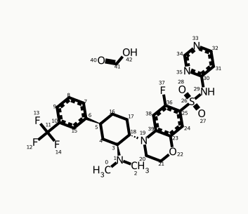 CN(C)[C@H]1C[C@@H](c2cccc(C(F)(F)F)c2)CC[C@@H]1N1CCOc2cc(S(=O)(=O)Nc3ccncn3)c(F)cc21.O=CO